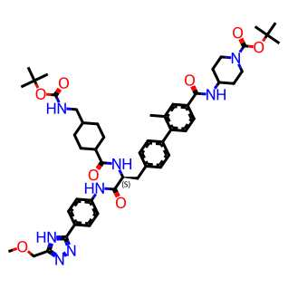 COCc1nnc(-c2ccc(NC(=O)[C@H](Cc3ccc(-c4ccc(C(=O)NC5CCN(C(=O)OC(C)(C)C)CC5)cc4C)cc3)NC(=O)C3CCC(CNC(=O)OC(C)(C)C)CC3)cc2)[nH]1